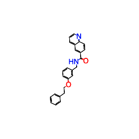 O=C(NCc1cccc(OCCc2ccccc2)c1)c1ccc2ncccc2c1